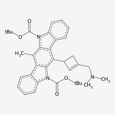 Cc1c2c3ccccc3n(C(=O)OC(C)(C)C)c2c(C2C=C(CN(C)C)C2)c2c3ccccc3n(C(=O)OC(C)(C)C)c12